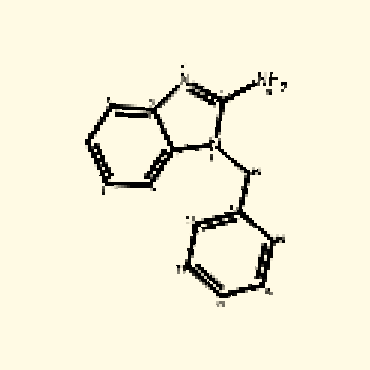 Nc1nc2ccccc2n1Cc1ccccc1